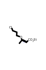 CCOC(=O)/C=C(/C)OCCCCl